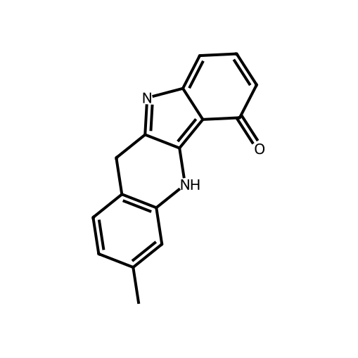 Cc1ccc2c(c1)NC1=C3C(=O)C=CC=C3N=C1C2